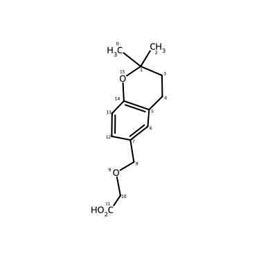 CC1(C)CCc2cc(COCC(=O)O)ccc2O1